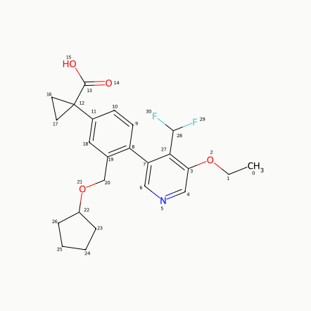 CCOc1cncc(-c2ccc(C3(C(=O)O)CC3)cc2COC2CCCC2)c1C(F)F